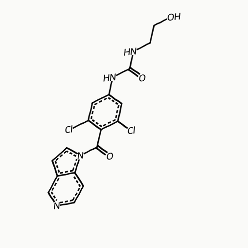 O=C(NCCO)Nc1cc(Cl)c(C(=O)n2ccc3cnccc32)c(Cl)c1